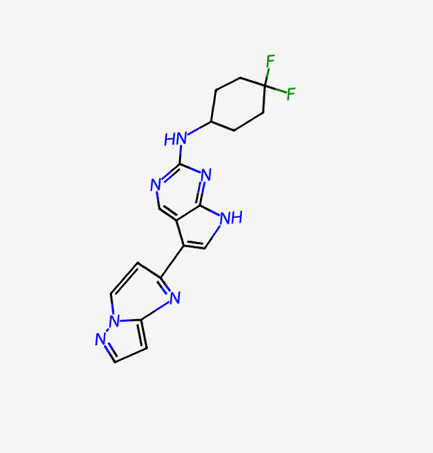 FC1(F)CCC(Nc2ncc3c(-c4ccn5nccc5n4)c[nH]c3n2)CC1